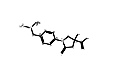 C=C1CC(C)(C(=C)C)CN1c1ccc(CN(CCC)CCCC)cc1